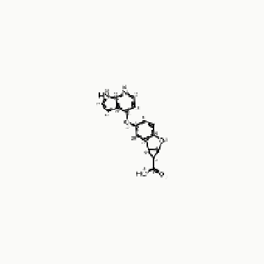 O=C(O)C1C2Oc3ccc(Oc4ccnc5[nH]ccc45)cc3C21